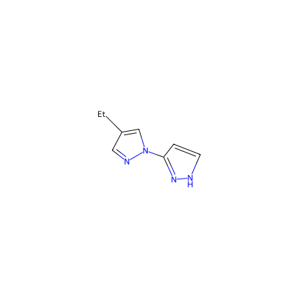 CCc1cnn(-c2cc[nH]n2)c1